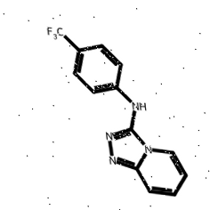 FC(F)(F)c1ccc(Nc2nnc3ccccn23)cc1